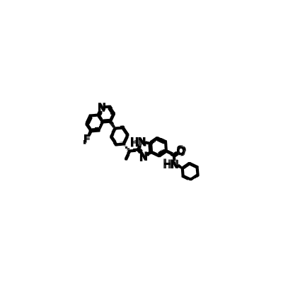 CC(c1nc2cc(C(=O)NC3CCCCC3)ccc2[nH]1)[C@H]1CC[C@H](c2ccnc3ccc(F)cc32)CC1